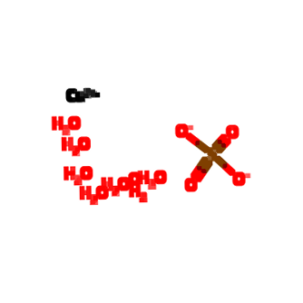 O.O.O.O.O.O.O.O=S(=O)([O-])[O-].[Cu+2]